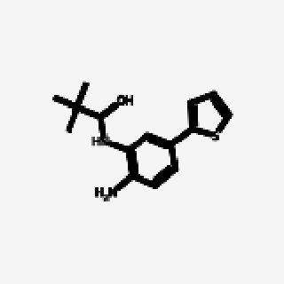 CC(C)(C)C(O)Nc1cc(-c2cccs2)ccc1N